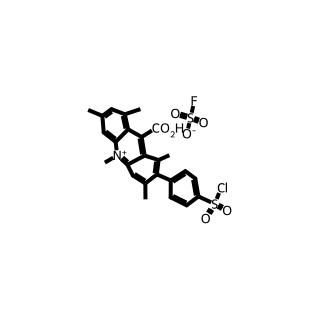 Cc1cc(C)c2c(C(=O)O)c3c(C)c(-c4ccc(S(=O)(=O)Cl)cc4)c(C)cc3[n+](C)c2c1.O=S(=O)([O-])F